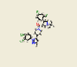 Cc1cc(C2CCN(C(=O)[C@H]3CN(C(C)(C)C)CC3c3ccc(F)cc3F)CC2)n(-c2ccc(Cl)c(Cl)c2)n1